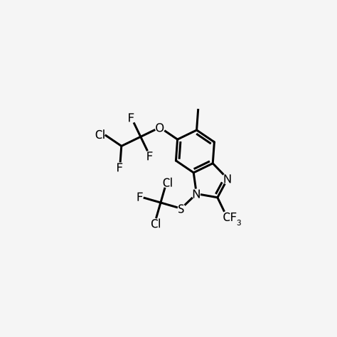 Cc1cc2nc(C(F)(F)F)n(SC(F)(Cl)Cl)c2cc1OC(F)(F)C(F)Cl